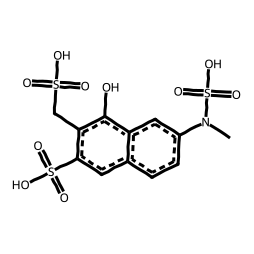 CN(c1ccc2cc(S(=O)(=O)O)c(CS(=O)(=O)O)c(O)c2c1)S(=O)(=O)O